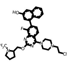 CN1CCCC1COc1nc(N2CCN(CCCl)CC2)c2ccc(-c3cc(O)cc4ccccc34)c(F)c2n1